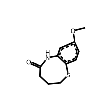 COc1ccc2c(c1)NC(=O)CCCS2